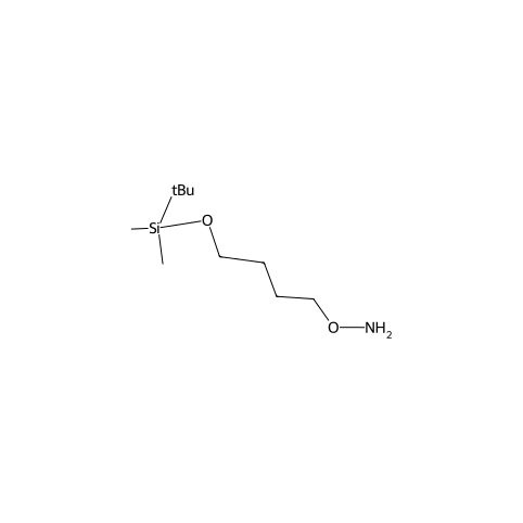 CC(C)(C)[Si](C)(C)OCCCCON